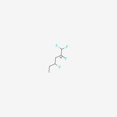 [CH2]CC(F)C[C@H](F)C(F)F